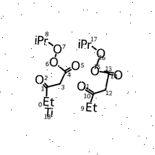 CCC(=O)CC(=O)OOC(C)C.CCC(=O)CC(=O)OOC(C)C.[Ti]